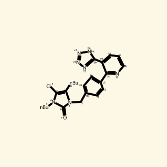 CCCCc1c(Cl)n(CCCC)c(=O)n1Cc1ccc(-c2ncccc2-c2nnn[nH]2)cc1